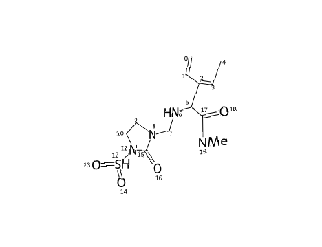 C=C/C(=C\C)C(NCN1CCN([SH](=O)=O)C1=O)C(=O)NC